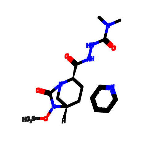 CN(C)C(=O)NNC(=O)[C@@H]1CC[C@@H]2CN1C(=O)N2OS(=O)(=O)O.c1ccncc1